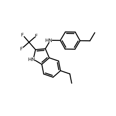 CCc1ccc(Nc2c(C(F)(F)F)[nH]c3ccc(CC)cc23)cc1